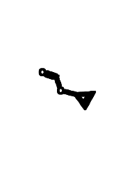 O=[C]OC1C=C1